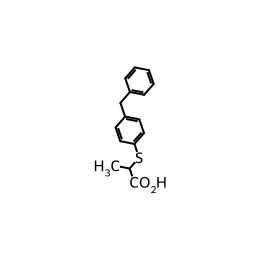 CC(Sc1ccc(Cc2ccccc2)cc1)C(=O)O